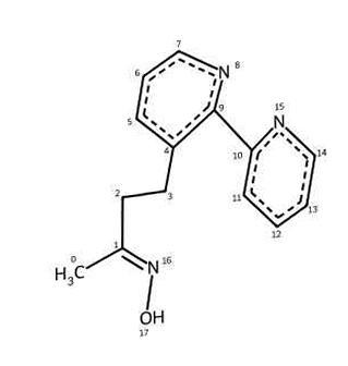 CC(CCc1cccnc1-c1ccccn1)=NO